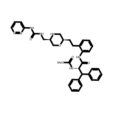 COC(=O)N[C@H](C(=O)Nc1ccccc1CC[C@@H]1CN[C@H](CNC(=O)Nc2cccnn2)CO1)C(c1ccccc1)c1ccccc1